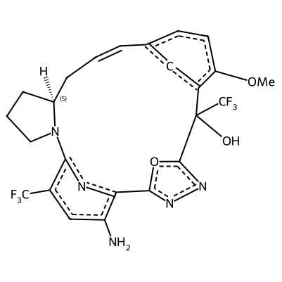 COc1ccc2cc1C(O)(C(F)(F)F)c1nnc(o1)-c1nc(c(C(F)(F)F)cc1N)N1CCC[C@H]1CC=C2